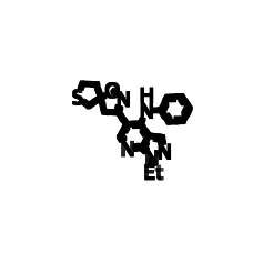 CCn1ncc2c(Nc3ccccc3)c(C3=NOC4(CCSC4)C3)cnc21